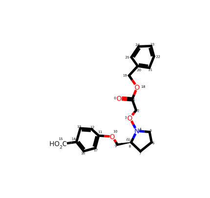 O=C(CON1CCC[C@H]1COc1ccc(C(=O)O)cc1)OCc1ccccc1